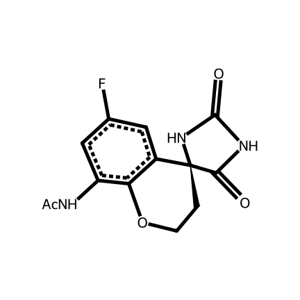 CC(=O)Nc1cc(F)cc2c1OCC[C@]21NC(=O)NC1=O